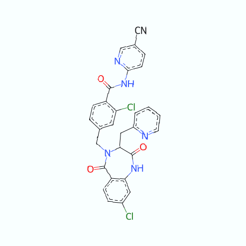 N#Cc1ccc(NC(=O)c2ccc(CN3C(=O)c4ccc(Cl)cc4NC(=O)C3Cc3ccccn3)cc2Cl)nc1